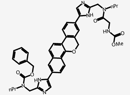 CCCN(Cc1ncc(-c2ccc3c(c2)COc2c-3ccc3cc(-c4cnc(CN(CCC)C(=O)OCc5ccccc5)[nH]4)ccc23)[nH]1)C(=O)CNC(=O)OC